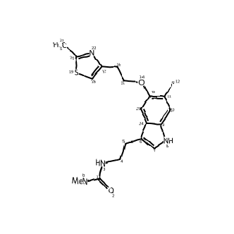 CNC(=O)NCCc1c[nH]c2cc(F)c(OCCc3csc(C)n3)cc12